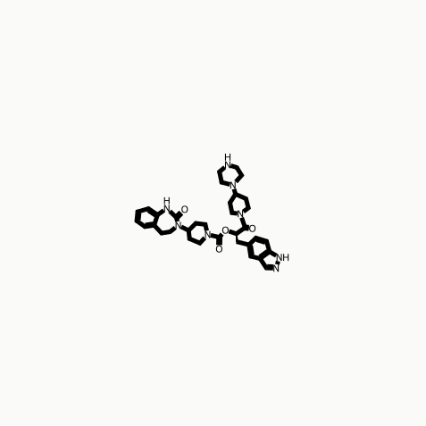 O=C(O[C@H](Cc1ccc2[nH]ncc2c1)C(=O)N1CCC(N2CCNCC2)CC1)N1CCC(N2CCc3ccccc3NC2=O)CC1